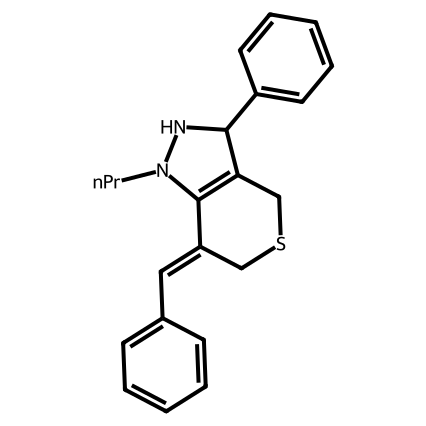 CCCN1NC(c2ccccc2)C2=C1C(=Cc1ccccc1)CSC2